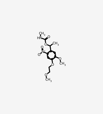 CNC(=O)OC(C)c1cc(OC)c(OCCOC)cc1[N+](=O)[O-]